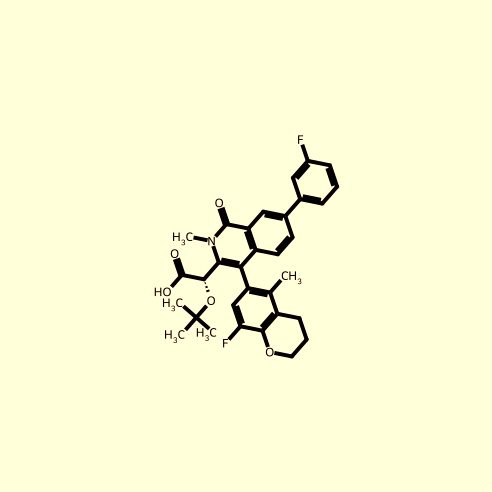 Cc1c(-c2c([C@H](OC(C)(C)C)C(=O)O)n(C)c(=O)c3cc(-c4cccc(F)c4)ccc23)cc(F)c2c1CCCO2